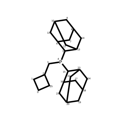 C1CC(CP(C2C3CC4CC(C3)CC2C4)C2C3CC4CC(C3)CC2C4)C1